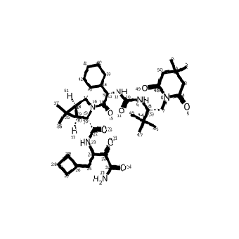 CC1(C)CC(=O)N(C[C@@H](NC(=O)N[C@H](C(=O)N2C[C@H]3[C@@H]([C@H]2C(=O)NC(CC2CCC2)C(=O)C(N)=O)C3(C)C)C2CCCCC2)C(C)(C)C)C(=O)C1